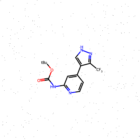 CC(C)(C)OC(=O)Nc1cc(-c2c[nH]nc2C(F)(F)F)ccn1